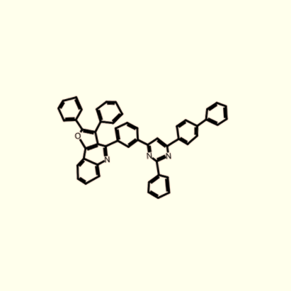 c1ccc(-c2ccc(-c3cc(-c4cccc(-c5nc6ccccc6c6oc(-c7ccccc7)c(-c7ccccc7)c56)c4)nc(-c4ccccc4)n3)cc2)cc1